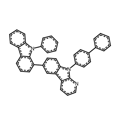 c1ccc(-c2ccc(-n3c4ccc(-c5cccc6c7ccccc7n(-c7ccccc7)c56)cc4c4cccnc43)cc2)cc1